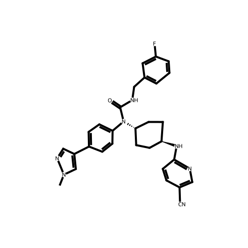 Cn1cc(-c2ccc(N(C(=O)NCc3cccc(F)c3)[C@H]3CC[C@H](Nc4ccc(C#N)cn4)CC3)cc2)cn1